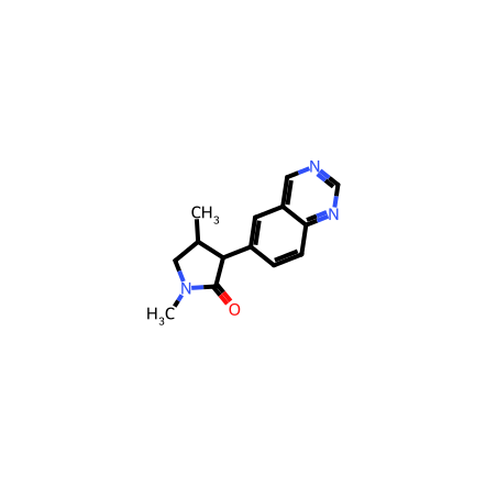 CC1CN(C)C(=O)C1c1ccc2ncncc2c1